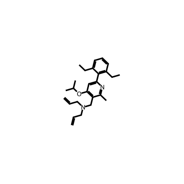 C=CCN(CC=C)Cc1c(OC(C)C)cc(-c2c(CC)cccc2CC)nc1C